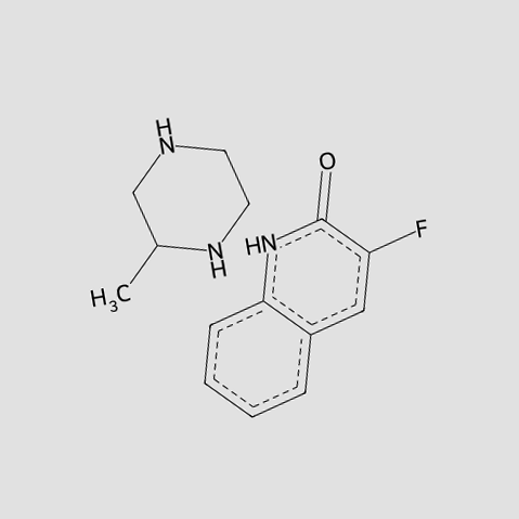 CC1CNCCN1.O=c1[nH]c2ccccc2cc1F